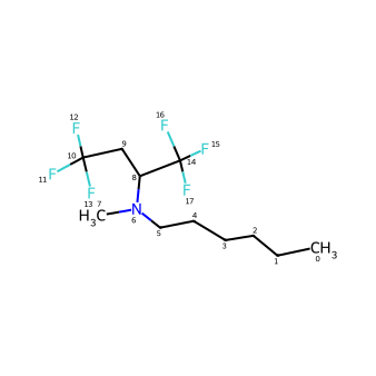 CCCCCCN(C)C(CC(F)(F)F)C(F)(F)F